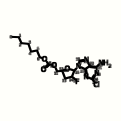 CCCCCCCOC(=O)OCC1CC(F)C(n2cnc3c(N)nc(Cl)nc32)O1